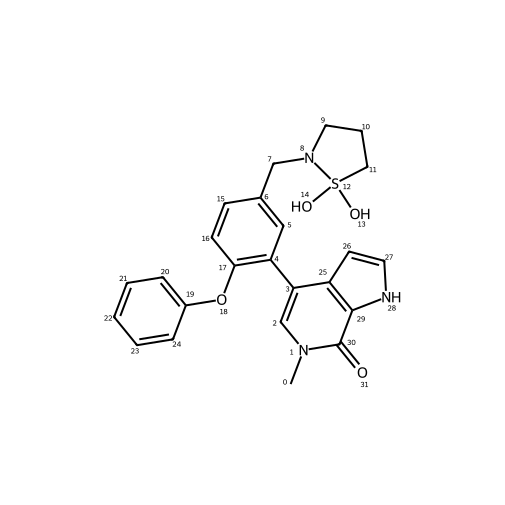 Cn1cc(-c2cc(CN3CCCS3(O)O)ccc2Oc2ccccc2)c2cc[nH]c2c1=O